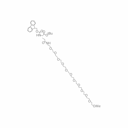 COCCOCCOCCOCCOCCOCCOCCOCCOCCOCCOCCOCCNC(=O)CC[C@H](NC(=O)OCC1c2ccccc2-c2ccccc21)C(=O)OC(C)(C)C